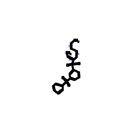 C\C=C/C=C\C(=C/C)S(=O)(=O)c1cccc(S(=O)(=O)c2ccccc2)c1